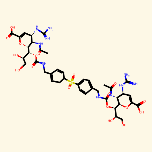 CC(=O)N[C@H]1[C@H]([C@H](OC(=O)NCC2=CCC(S(=O)(=O)c3ccc(CNC(=O)O[C@@H]([C@@H]4OC(C(=O)O)=C[C@H](NC(=N)N)[C@H]4NC(C)=O)[C@H](O)CO)cc3)C=C2)[C@H](O)CO)OC(C(=O)O)=C[C@@H]1NC(=N)N